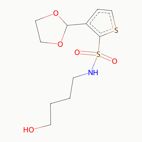 O=S(=O)(NCCCCO)c1sccc1C1OCCO1